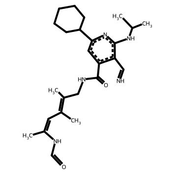 C/C(=C/C(C)=C(\C)CNC(=O)c1cc(C2CCCCC2)nc(NC(C)C)c1C=N)NC=O